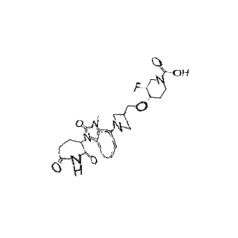 Cn1c(=O)n(C2CCC(=O)NC2=O)c2cccc(N3CC(CO[C@H]4CCN(C(=O)O)C[C@H]4F)C3)c21